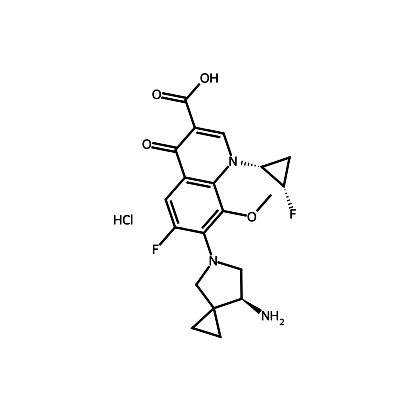 COc1c(N2C[C@@H](N)C3(CC3)C2)c(F)cc2c(=O)c(C(=O)O)cn([C@@H]3C[C@@H]3F)c12.Cl